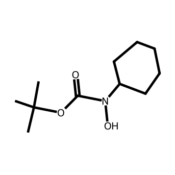 CC(C)(C)OC(=O)N(O)C1CCCCC1